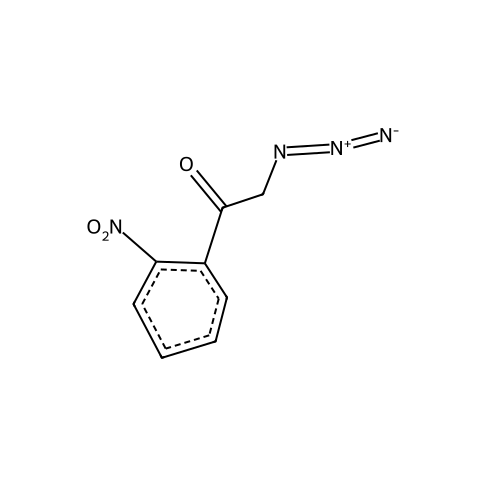 [N-]=[N+]=NCC(=O)c1ccccc1[N+](=O)[O-]